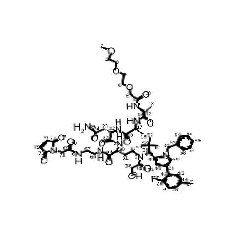 COCCOCCOCC(=O)N[C@@H](C)C(=O)N[C@@H](C)C(=O)N[C@@H](CC(N)=O)C(=O)N[C@@H](CCN(C(=O)CO)[C@@H](c1cc(-c2cc(F)ccc2F)cn1Cc1ccccc1)C(C)(C)C)C(=O)NCCNC(=O)CN1C(=O)C=CC1=O